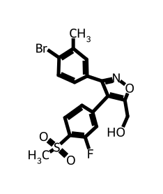 Cc1cc(-c2noc(CO)c2-c2ccc(S(C)(=O)=O)c(F)c2)ccc1Br